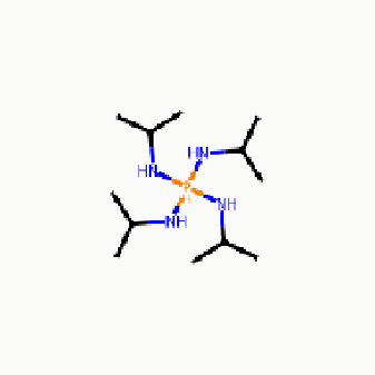 CC(C)N[PH](NC(C)C)(NC(C)C)NC(C)C